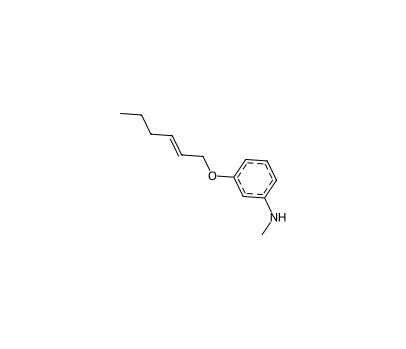 CCCC=CCOc1cccc(NC)c1